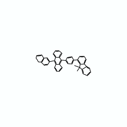 CC1(C)c2ccccc2-c2cccc(-c3ccc(-c4c5ccccc5c(-c5ccc6c(c5)C=CCC6)c5ccccc45)cc3)c21